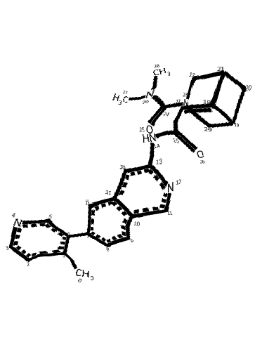 Cc1ccncc1-c1ccc2cnc(NC(=O)C=C3C4CC3CN(C(=O)N(C)C)C4)cc2c1